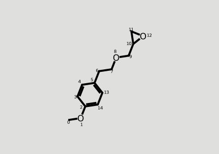 COc1ccc(CCOCC2CO2)cc1